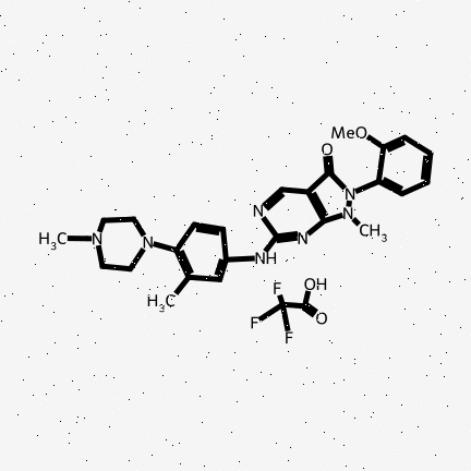 COc1ccccc1-n1c(=O)c2cnc(Nc3ccc(N4CCN(C)CC4)c(C)c3)nc2n1C.O=C(O)C(F)(F)F